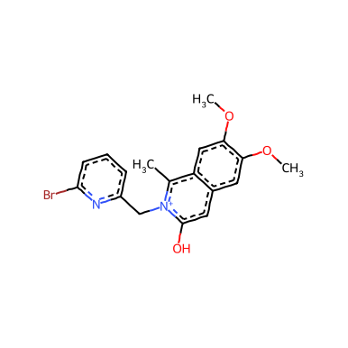 COc1cc2cc(O)[n+](Cc3cccc(Br)n3)c(C)c2cc1OC